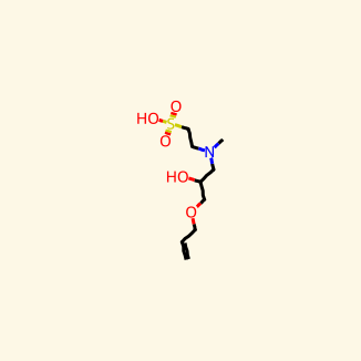 C=CCOCC(O)CN(C)CCS(=O)(=O)O